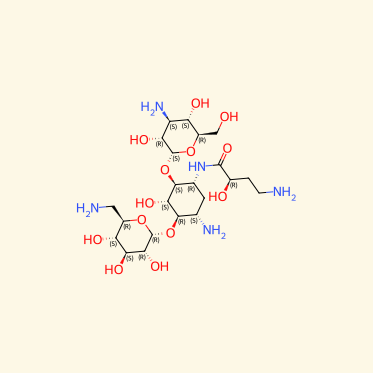 NCC[C@@H](O)C(=O)N[C@@H]1C[C@H](N)[C@@H](O[C@H]2O[C@H](CN)[C@@H](O)[C@H](O)[C@H]2O)[C@H](O)[C@H]1O[C@H]1O[C@H](CO)[C@@H](O)[C@H](N)[C@H]1O